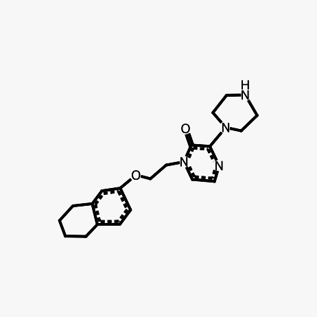 O=c1c(N2CCNCC2)nccn1CCOc1ccc2c(c1)CCCC2